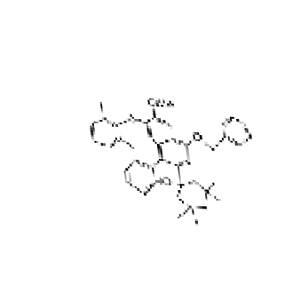 COc1cc2c(OCc3ccccc3)cc(C3(O)CC(C)(C)CC(C)(C)C3)c(-c3ccccc3)c2cc1Sc1c(C)cccc1C